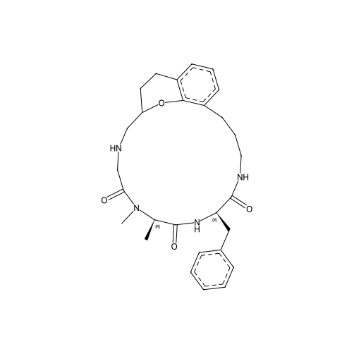 C[C@@H]1C(=O)N[C@H](Cc2ccccc2)C(=O)NCCCc2cccc3c2OC(CC3)CNCC(=O)N1C